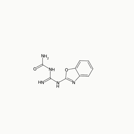 N=C(NC(N)=O)Nc1nc2ccccc2o1